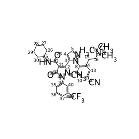 Cn1c(-c2ccnn2-c2ccc(C#N)cc2CC[N+](C)(C)C)c(C(=O)NC2CCCCC2)c(=O)n1-c1cccc(C(F)(F)F)c1